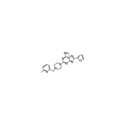 Cc1cccc(CN2CCN(c3nc(N)n4nc(-c5ccco5)nc4n3)CC2)n1